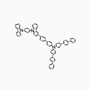 c1ccc(-c2ccc(-c3ccc(N(c4ccc(-c5ccc(-c6ccccc6)cc5)cc4)c4ccc(-c5ccc(-c6ccc7c(c6)c6ccccc6n7-c6ccc(-n7c8ccccc8c8ccccc87)cc6)cc5)cc4)cc3)cc2)cc1